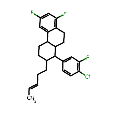 CC=CCCC1CCC2c3cc(F)cc(F)c3CCC2C1c1ccc(Cl)c(F)c1